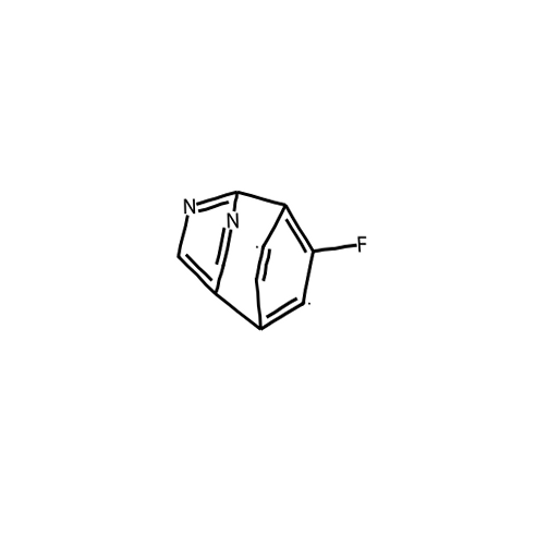 Fc1[c]c2c[c]c1-c1ncc-2cn1